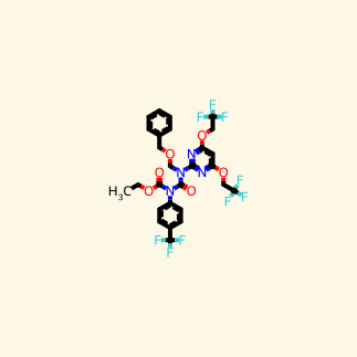 CCOC(=O)N(C(=O)N(COCc1ccccc1)c1nc(OCC(F)(F)F)cc(OCC(F)(F)F)n1)c1ccc(C(F)(F)F)cc1